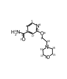 NC(=O)c1ccnc(OCCN2CCOCC2)c1